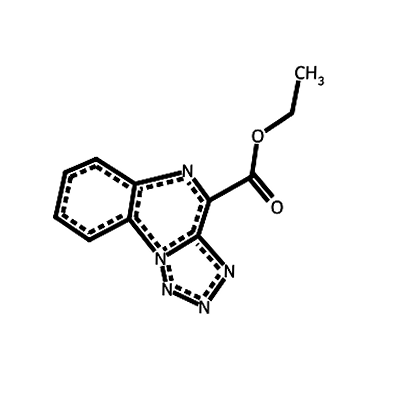 CCOC(=O)c1nc2ccccc2n2nnnc12